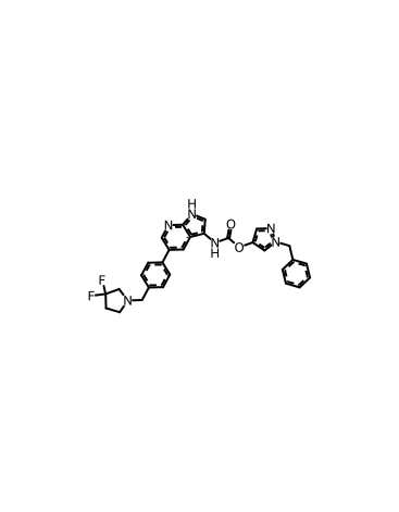 O=C(Nc1c[nH]c2ncc(-c3ccc(CN4CCC(F)(F)C4)cc3)cc12)Oc1cnn(Cc2ccccc2)c1